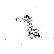 CCC[C@@H](CC(=O)O)c1cccc(OCc2ccc(-c3cccc(OC)c3)c(C3=CCCC3(C)C)c2)c1